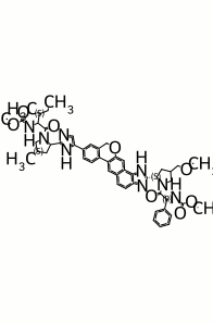 CC[C@H](C)C(NC(=O)OC)C(=O)N1C[C@@H](C)CC1c1ncc(-c2ccc3c(c2)COc2cc4c(ccc5nc([C@@H]6CC(COC)CN6C(=O)[C@H](NC(=O)OC)c6ccccc6)[nH]c54)cc2-3)[nH]1